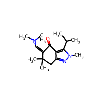 CC(C)c1c2c(nn1C)CC(C)(C)/C(=C/N(C)C)C2=O